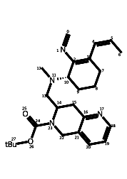 C=NC1=C(/C=C\C)CCC[C@@H]1N(C)CC1Cc2ncccc2CN1C(=O)OC(C)(C)C